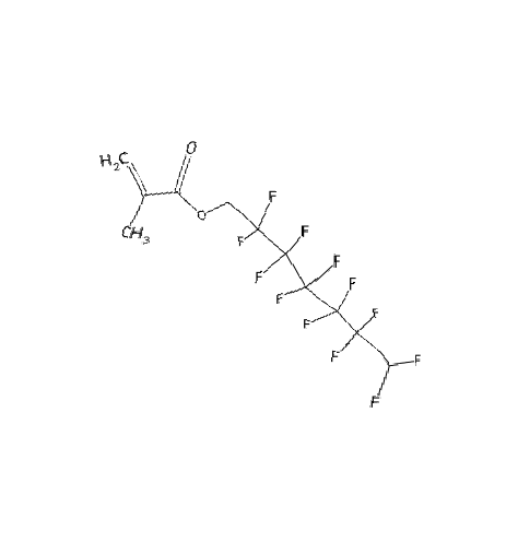 C=C(C)C(=O)OCC(F)(F)C(F)(F)C(F)(F)C(F)(F)C(F)(F)C(F)F